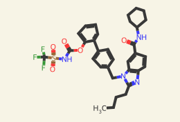 CCCCc1nc2ccc(C(=O)NC3CCCCC3)cc2n1Cc1ccc(-c2ccccc2OC(=O)NS(=O)(=O)C(F)(F)F)cc1